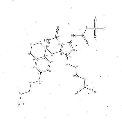 CS(=O)(=O)CC(=O)Nc1nn(CCOCC(F)F)c2c1C(=O)N[C@@]1(CCCc3cc(OCCCC(F)(F)F)ccc31)C2